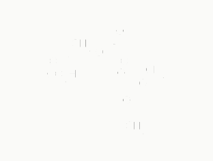 C=COC(=O)OCC(CC(=C)OC(=O)O)OC(=O)OC=C